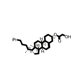 CC(C)CCC[C@@H](C)[C@H]1CC[C@H]2[C@@H]3CC=C4C[C@@H](OC(=O)CO)CC[C@]4(C)[C@H]3CC[C@]12C